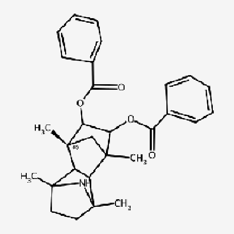 CC12CCC(C)(N1)C1C2C2(C)C[C@@]1(C)C(OC(=O)c1ccccc1)C2OC(=O)c1ccccc1